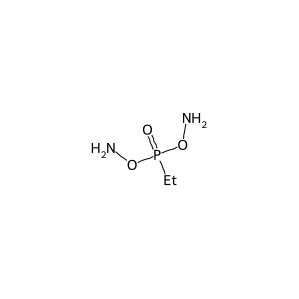 CCP(=O)(ON)ON